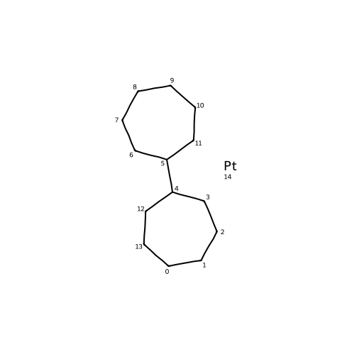 C1CCCC(C2CCCCCC2)CC1.[Pt]